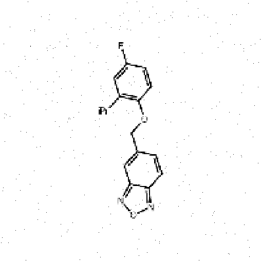 CC(C)c1cc(F)ccc1OCc1ccc2nonc2c1